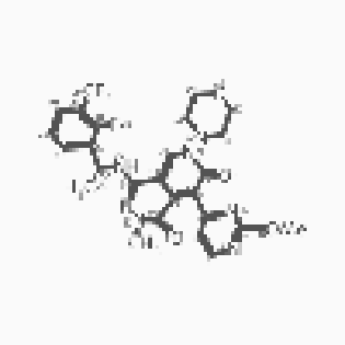 COc1nccc(-c2c(=O)n(N3CCOCC3)cc3c(N[C@H](C)c4cccc(C(F)(F)F)c4F)nn(C)c(=O)c23)n1